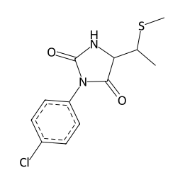 CSC(C)C1NC(=O)N(c2ccc(Cl)cc2)C1=O